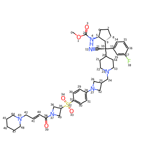 COC(=O)N[C@H]1CCC[C@@H]1[C@](C#N)(c1cccc(F)c1)C1CCN(CC2CN(c3ccc(S(=O)(=O)C4CN(C(=O)/C=C/CN5CCCCC5)C4)cc3)C2)CC1